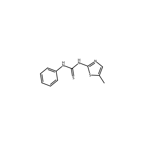 Cc1cnc(NC(=S)Nc2ccccc2)s1